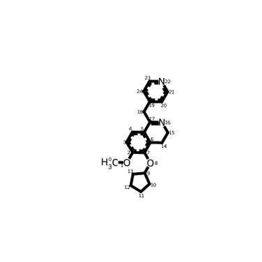 COc1ccc2c(c1OC1CCCC1)CCN=C2Cc1ccncc1